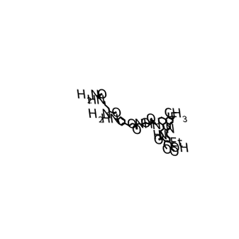 CC[C@@]1(O)C(=O)OCc2c1cc1n(c2=O)Cc2c-1nc1cc(F)c(C)c3c1c2[C@@H](NC(=O)COCNC(=O)OCc1ccc(NC(=O)[C@@H](N)CCCNC(N)=O)cc1)CC3